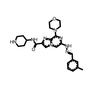 Cc1cccc(/C=N/Nc2cn3cc(C(=O)NC4CCNCC4)nc3c(N3CCOCC3)n2)c1